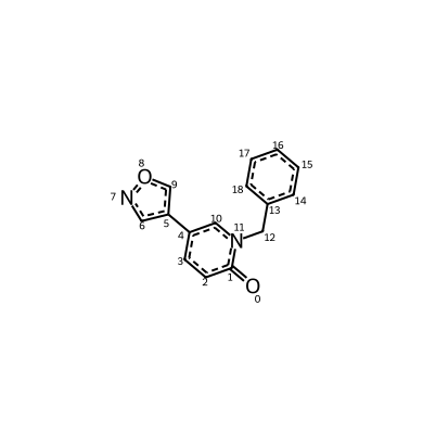 O=c1ccc(-c2cnoc2)cn1Cc1ccccc1